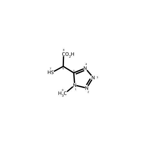 Cn1nnnc1C(S)C(=O)O